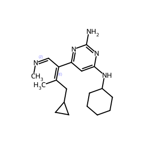 C/N=C\C(=C(/C)CC1CC1)c1cc(NC2CCCCC2)nc(N)n1